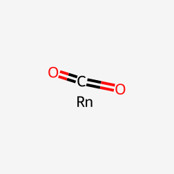 O=C=O.[Rn]